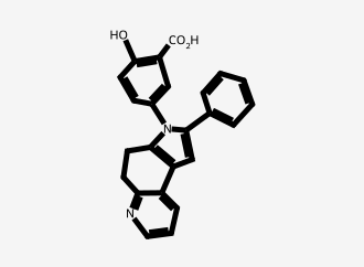 O=C(O)c1cc(-n2c(-c3ccccc3)cc3c2CCc2ncccc2-3)ccc1O